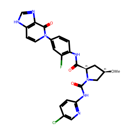 CO[C@@H]1C[C@H](C(=O)Nc2ccc(-n3ccc4[nH]cnc4c3=O)cc2F)N(C(=O)Nc2ccc(Cl)cn2)C1